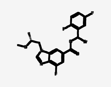 CO[C@H](C)Cn1cnc2c(F)cc(C(=O)OC(Br)c3cc(F)ccc3F)cc21